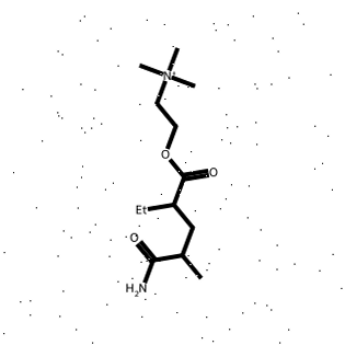 CCC(CC(C)C(N)=O)C(=O)OCC[N+](C)(C)C